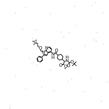 COC(=O)[C@H](NC(=O)OC(C)(C)C)C1CCC(C(=O)Nc2ccnc3c2cc(-c2ccccc2)n3COCC[Si](C)(C)C)CC1